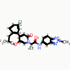 CC[C@@H](C(=O)Nc1ccc2nn(C)nc2c1)n1cc2c(cc1=O)-c1cc(Cl)ccc1C[C@@H](C(F)(F)F)CO2